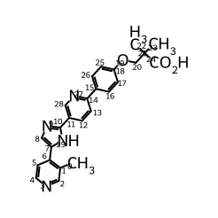 Cc1cnccc1-c1cnc(-c2ccc(-c3ccc(OCC(C)(C)C(=O)O)cc3)nc2)[nH]1